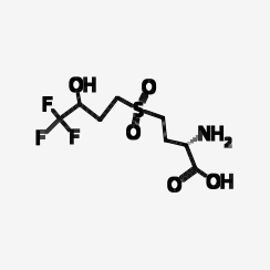 N[C@@H](CCS(=O)(=O)CCC(O)C(F)(F)F)C(=O)O